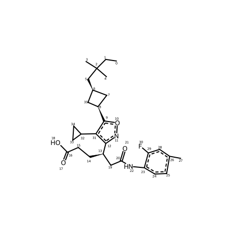 CCC(C)(C)C[C@H]1C[C@@H](c2onc([C@H](CCC(=O)O)CC(=O)Nc3ccc(C)cc3F)c2C2CC2)C1